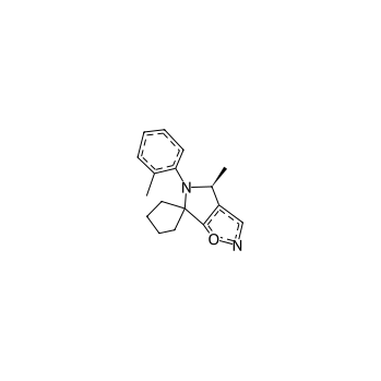 Cc1ccccc1N1[C@@H](C)c2cnoc2C12CCCC2